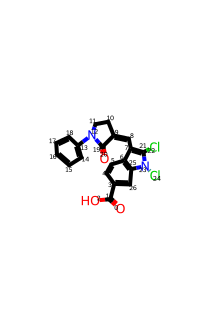 O=C(O)c1ccc2c(C=C3CCN(c4ccccc4)C3=O)c(Cl)n(Cl)c2c1